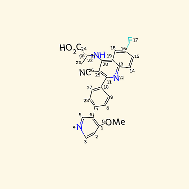 COc1ccncc1-c1ccc(-c2nc3ccc(F)cc3c(N[C@H](C)C(=O)O)c2C#N)cc1